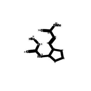 CCCCOC(=O)NC1CCCC1C=CC(=O)OC